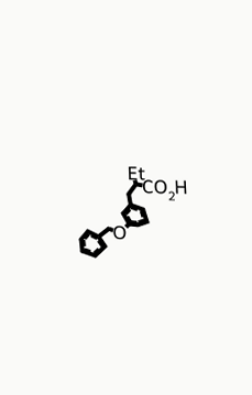 CCC(Cc1cccc(OCc2ccccc2)c1)C(=O)O